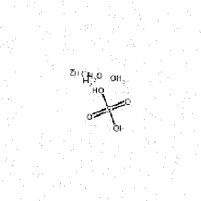 O.O.O=S(=O)(O)O.[CaH2].[Zn]